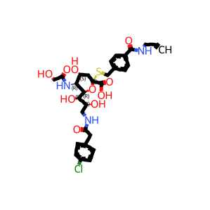 C#CCNC(=O)c1ccc(CS[C@]2(C(=O)O)C[C@H](O)[C@@H](NC(=O)CO)[C@H]([C@H](O)[C@H](O)CNC(=O)Cc3ccc(Cl)cc3)O2)cc1